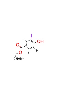 CCc1c(C)c(C(=O)OCOC)c(C)c(I)c1O